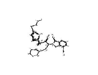 COCCn1ccc(NC(=O)C(CC2CCCCC2)N2Cc3c(F)cccc3C2=O)n1